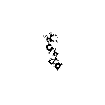 Cc1nn(-c2ccc(F)c(OC3CN(C(=O)N4N=CC[C@H]4c4cc(F)cc(F)c4)C3)n2)c(C)c1C(N)=O